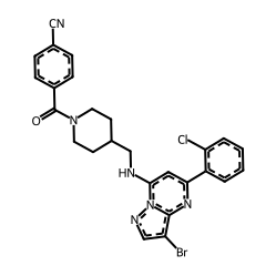 N#Cc1ccc(C(=O)N2CCC(CNc3cc(-c4ccccc4Cl)nc4c(Br)cnn34)CC2)cc1